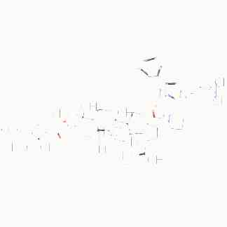 C=C(C)[C@@H]1CC[C@]2(C(=O)N3CCC[C@H]3c3nc(-c4cccc(F)c4)cn3CCN(C)C)CC[C@]3(C)[C@H](CCC4[C@@]5(C)CC[C@H](OC(=O)[C@H]6C[C@@H](C(=O)O)C6(C)C)C(C)(C)C5CC[C@]43C)C12